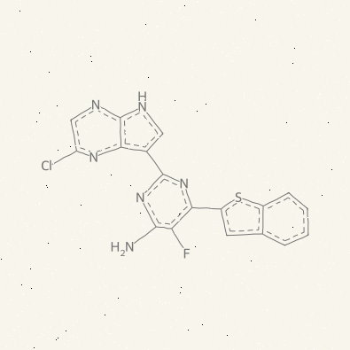 Nc1nc(-c2c[nH]c3ncc(Cl)nc23)nc(-c2cc3ccccc3s2)c1F